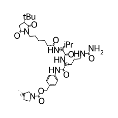 CC(C)[C@H](NC(=O)CCCCCN1C(=O)CC(C(C)(C)C)C1=O)C(=O)N[C@@H](CCCNC(N)=O)C(=O)Nc1ccc(COC(=O)N2CC[C@H](C)C2)cc1